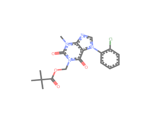 Cn1c(=O)n(COC(=O)C(C)(C)C)c(=O)c2c1ncn2-c1ccccc1Cl